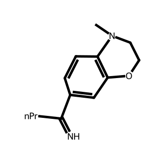 CCCC(=N)c1ccc2c(c1)OCCN2C